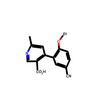 CCOc1ccc(C#N)cc1-c1cc(C)ncc1C(=O)O